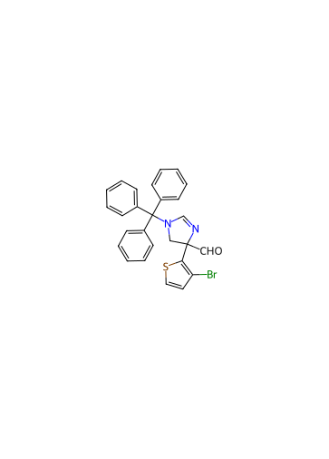 O=CC1(c2sccc2Br)CN(C(c2ccccc2)(c2ccccc2)c2ccccc2)C=N1